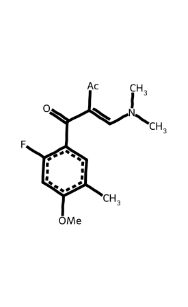 COc1cc(F)c(C(=O)C(=CN(C)C)C(C)=O)cc1C